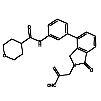 C=C(C=O)CN1Cc2c(cccc2-c2cccc(NC(=O)C3CCOCC3)c2)C1=O